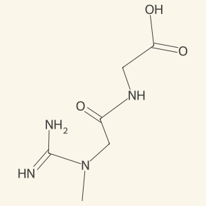 CN(CC(=O)NCC(=O)O)C(=N)N